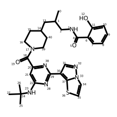 CC(CNC(=O)c1ccccc1O)CC1CCN(C(=O)c2cc(NC(C)(C)C)nc(-c3cnn4ccsc34)n2)CC1